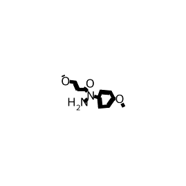 COC=CC(=O)N(N)c1ccc(OC)cc1